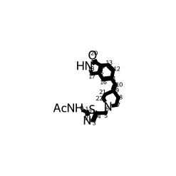 CC(=O)Nc1ncc(CN2CCC(=Cc3ccc4c(c3)CNC4=O)CC2)s1